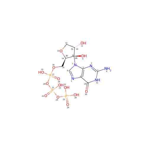 Nc1nc2c(ncn2[C@@]2(O)[C@@H](O)CO[C@@H]2COP(=O)(O)OP(=O)(O)OP(=O)(O)O)c(=O)[nH]1